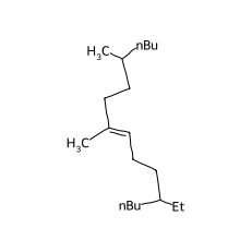 CCCCC(C)CCC(C)=CCCC(CC)CCCC